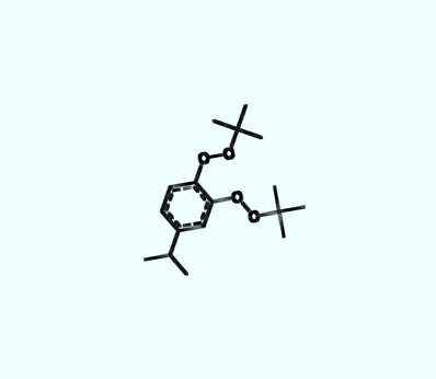 CC(C)c1ccc(OOC(C)(C)C)c(OOC(C)(C)C)c1